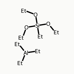 CCO[Si](CC)(OCC)OCC.C[CH2][Al]([CH2]C)[CH2]C